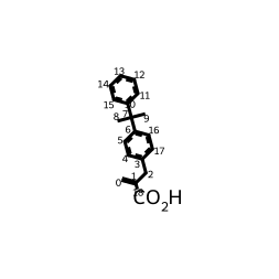 C=C(Cc1ccc(C(C)(C)c2ccccc2)cc1)C(=O)O